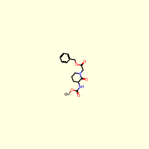 CC(C)(C)OC(=O)NC1CCCN(CC(=O)OCc2ccccc2)C1=O